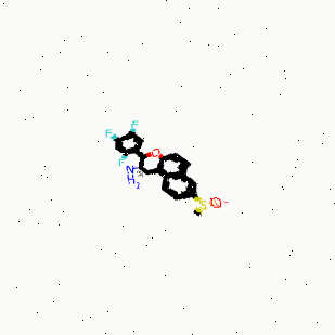 C[S+]([O-])c1ccc2c3c(ccc2c1)OC(c1cc(F)c(F)cc1F)[C@@H](N)C3